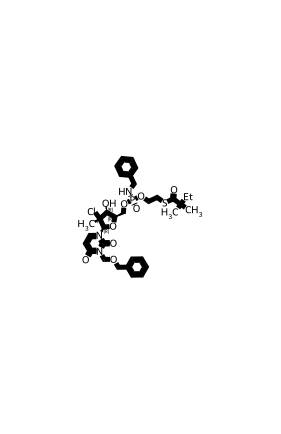 CCC(C)(C)C(=O)SCCOP(=O)(NCc1ccccc1)OC[C@H]1O[C@@H](n2ccc(=O)n(COCc3ccccc3)c2=O)[C@](C)(Cl)[C@@H]1O